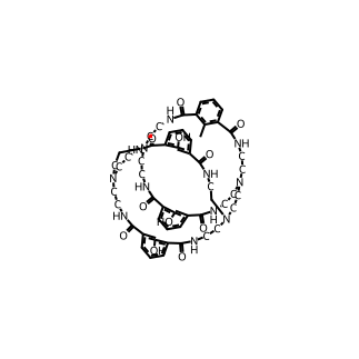 Cc1c2cccc1C(=O)NCCN1CCNC(=O)c3cccc(c3O)C(=O)NCCN(CCNC2=O)CCN2CCNC(=O)c3cccc(c3O)C(=O)NCCN(CCNC(=O)c3cccc(c3O)C(=O)NCC2)CC1